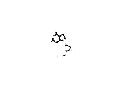 Nc1cc2c(ccn2[C@H]2C[C@H](O)[C@@H](CO)O2)c(=O)[nH]1